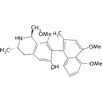 COc1c(-c2c(C)cc(OC)c3c(OC)cccc23)c(O)cc2c1[C@H](C)N[C@@H](C)C2